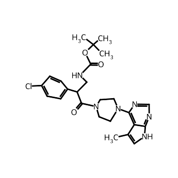 Cc1c[nH]c2ncnc(N3CCN(C(=O)C(CNC(=O)OC(C)(C)C)c4ccc(Cl)cc4)CC3)c12